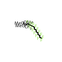 CO[Si](OC)(OC)C(C(F)C(F)(F)C(F)(F)C(F)(F)C(F)C(F)C(F)C(F)C(F)C(F)C(F)C(F)C(F)F)C(F)(F)F